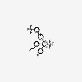 CCCc1cccc(-c2c(-c3ccc(F)cc3)nc(C(F)(F)F)nc2N2CCN(c3cccc(C(F)(F)F)c3)CC2)c1